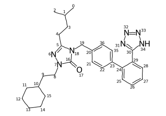 CC(C)CCc1nn(CCC2CCCCC2)c(=O)n1Cc1ccc(-c2ccccc2-c2nnn[nH]2)cc1